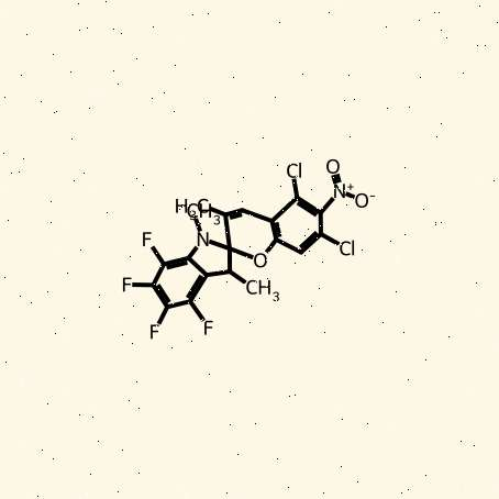 CC1=Cc2c(cc(Cl)c([N+](=O)[O-])c2Cl)OC12C(C)c1c(F)c(F)c(F)c(F)c1N2C